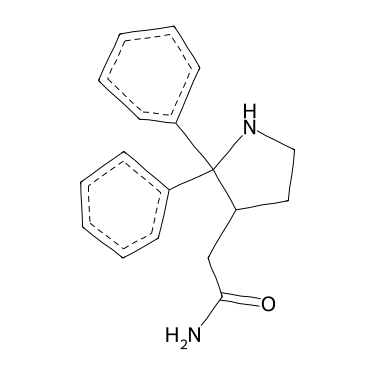 NC(=O)CC1CCNC1(c1ccccc1)c1ccccc1